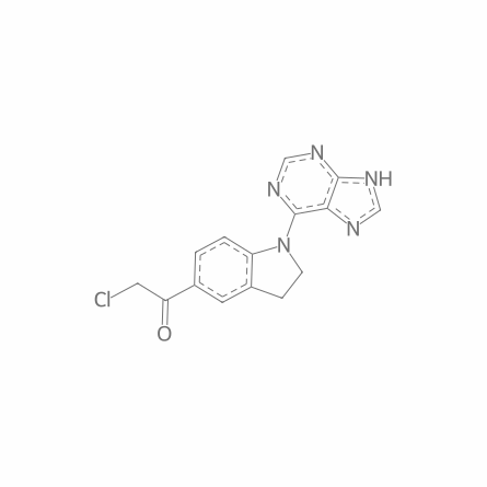 O=C(CCl)c1ccc2c(c1)CCN2c1ncnc2[nH]cnc12